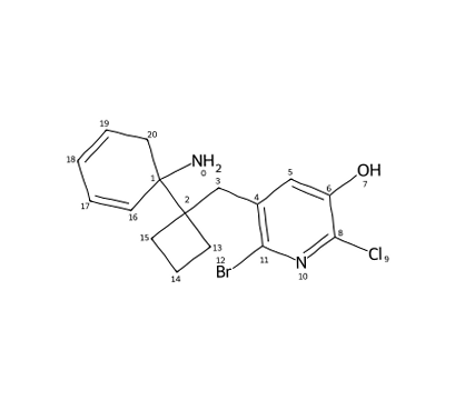 NC1(C2(Cc3cc(O)c(Cl)nc3Br)CCC2)C=CC=CC1